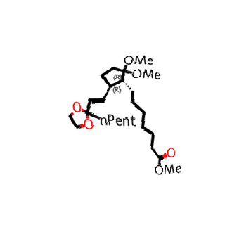 CCCCCC1(C=C[C@H]2CCC(OC)(OC)[C@@H]2CCCCCCC(=O)OC)OCCO1